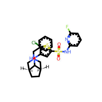 O=S(=O)(Nc1cccc(F)n1)c1cc(NC2[C@@H]3CC[C@H]2CN(Cc2ccccc2)C3)c(Cl)s1